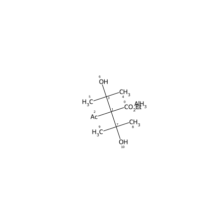 CCOC(=O)C(C(C)=O)(C(C)(C)O)C(C)(C)O.[AlH3]